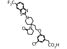 O=C(O)Cc1cc(Cl)cc(OCCC2(N3CCCC3=O)CCN(c3nc4ccc(C(F)(F)F)cc4s3)CC2)c1